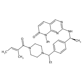 C/C=C(\C)C(=O)N1CCN(C(CC)c2ccc([C@H](C)Nc3ncc4ccc(=O)n(C(C)C)c4n3)cc2)CC1